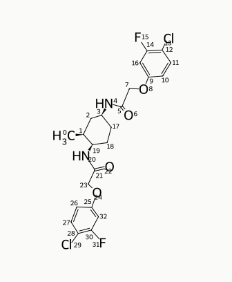 C[C@H]1C[C@@H](NC(=O)COc2ccc(Cl)c(F)c2)CC[C@H]1NC(=O)COc1ccc(Cl)c(F)c1